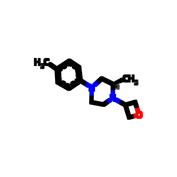 Cc1ccc(N2CCN(C3COC3)[C@H](C)C2)cc1